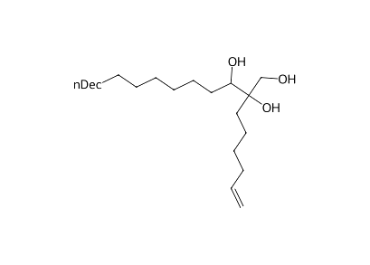 C=CCCCCC(O)(CO)C(O)CCCCCCCCCCCCCCCC